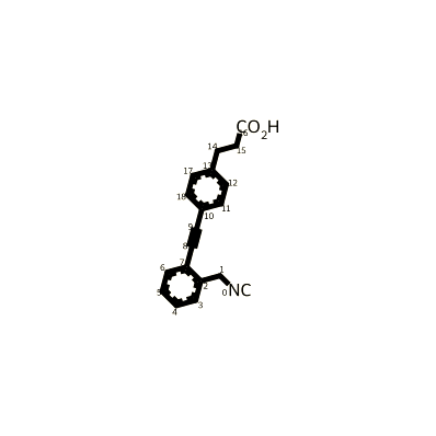 [C-]#[N+]Cc1ccccc1C#Cc1ccc(CCC(=O)O)cc1